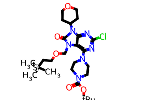 CC(C)(C)OC(=O)N1CCN(c2nc(Cl)nc3c2n(COCC[Si](C)(C)C)c(=O)n3C2CCOCC2)CC1